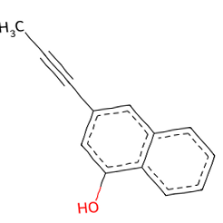 CC#Cc1cc(O)c2ccccc2c1